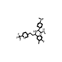 CNC(=O)C(NC(CCc1ccc(C(F)(F)F)nc1)c1ccc(F)c(C)c1)c1ccc(N(C)C)cc1